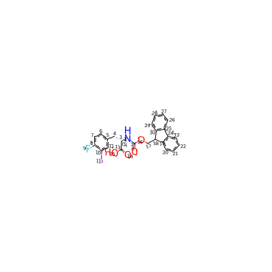 O=C(N[C@@H](Cc1ccc(F)c(I)c1)C(=O)O)OCC1c2ccccc2-c2ccccc21